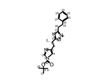 C[C@@H](Cc1cn(C(=O)OC(C)(C)C)cn1)c1nc(CCc2ccccc2)no1